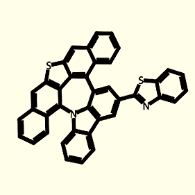 c1ccc2c(c1)cc1sc3cc4ccccc4c4c3c1c2c1cc(-c2nc3ccccc3s2)cc2c3ccccc3n4c21